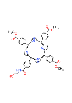 COC(=O)c1ccc(-c2c3nc(c(-c4ccc(C(=O)OC)cc4)c4ccc([nH]4)c(-c4ccc(C(=O)OC)cc4)c4nc(c(-c5ccc(C(=O)NCCO)cc5)c5ccc2[nH]5)C=C4)C=C3)cc1